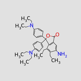 CCc1c(N)cc2c(c1CC)C(c1ccc(N(CC)CC)cc1)(c1ccc(N(CC)CC)cc1)OC2=O